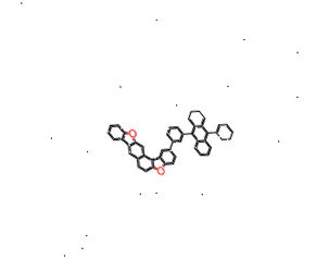 C1=CCCC(c2c3c(c(-c4cccc(-c5ccc6oc7ccc8cc9c(cc8c7c6c5)oc5ccccc59)c4)c4ccccc24)=CCCC=3)=C1